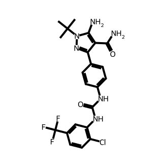 CC(C)(C)n1nc(-c2ccc(NC(=O)Nc3cc(C(F)(F)F)ccc3Cl)cc2)c(C(N)=O)c1N